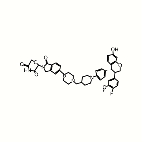 COc1cc(C2COc3cc(O)ccc3[C@H]2c2ccc(N3CCC(CN4CCN(c5ccc6c(c5)CN(C5CCC(=O)NC5=O)C6=O)CC4)CC3)cc2)ccc1F